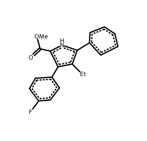 CCc1c(-c2ccccc2)[nH]c(C(=O)OC)c1-c1ccc(F)cc1